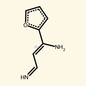 N=C/C=C(\N)c1ccco1